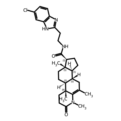 CC1=C2N(C)C(=O)CC[C@]2(C)[C@H]2CC[C@]3(C)[C@@H](C(=O)NCCc4nc5ccc(Cl)cc5[nH]4)CC[C@H]3[C@@H]2C1